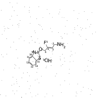 Cl.NCC=C(F)COc1nc2ccccc2s1